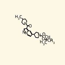 CC1CCN(C(=O)c2cnn3ccc(C4CCN(C(=O)OC(C)(C)C)CC4)cc23)CC1